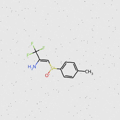 Cc1ccc([S+]([O-])C=C(N)C(F)(F)F)cc1